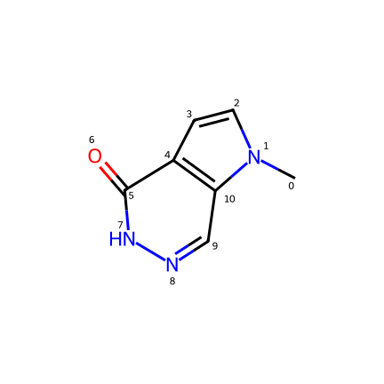 Cn1ccc2c(=O)[nH]ncc21